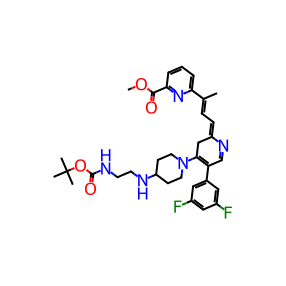 COC(=O)c1cccc(/C(C)=C/C=C2\CC(N3CCC(NCCNC(=O)OC(C)(C)C)CC3)=C(c3cc(F)cc(F)c3)C=N2)n1